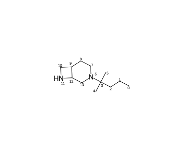 CCCC(C)(C)N1CCC2CNC2C1